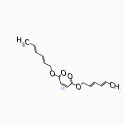 CC=CC=CCOC(=O)/C=C\C(=O)OCC=CC=CC